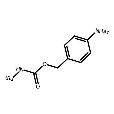 CC(=O)Nc1ccc(COC(=O)NC(C)(C)C)cc1